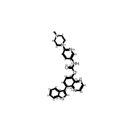 CN1CCN(c2ccc(NC(=O)Oc3ccc(-c4csc5ccccc45)c4nccnc34)cn2)CC1